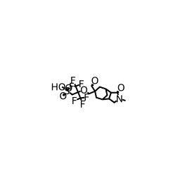 CN1CC2C3CC(CC(C=O)(COC(CS(=O)(=O)O)(C(F)(F)F)C(F)(F)F)C3)C2C1=O